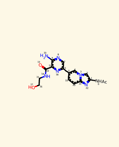 CC(=O)Nc1cn2cc(-c3cnc(N)c(C(=O)NCCO)n3)ccc2n1